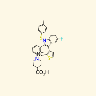 Cc1ccc(Sn2c(-c3cccc(N4CCC(C(=O)O)CC4)c3)c(-c3ccsc3C#N)c3cc(F)ccc32)cc1